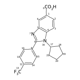 O=C(O)c1ccc2c(c1)nc(-c1ccc(C(F)(F)F)cc1)n2C1CCCC1